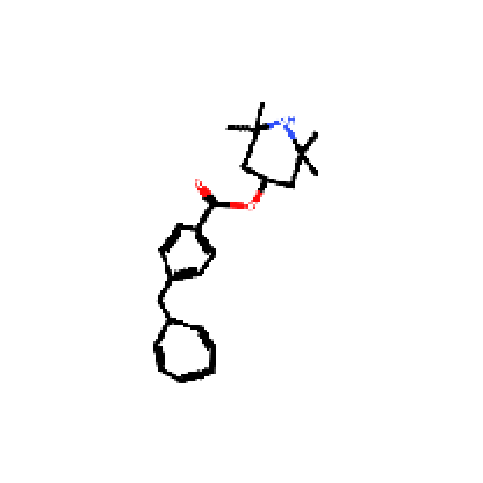 CC1(C)CC(OC(=O)c2ccc(CC3C=CC=CC=C3)cc2)CC(C)(C)N1